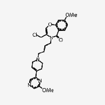 COc1ccc2c(c1)OC=C(CCl)N(CCCCN1CC=C(c3cncc(OC)n3)CC1)C2=O